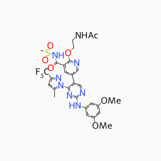 COc1cc(Nc2ncc(-c3cnc(OCCNC(C)=O)c(C(=O)NS(C)(=O)=O)c3)c(-n3nc(C(F)(F)F)cc3C)n2)cc(OC)c1